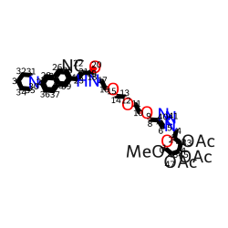 COC1OC(Cn2cc(COCCOCCOCCNC(=O)/C(C#N)=C/c3ccc4cc(N5CCCCC5)ccc4c3)nn2)C(OC(C)=O)C(OC(C)=O)C1OC(C)=O